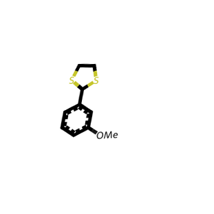 COc1cccc(C2SCCS2)c1